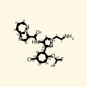 NCCn1cc(NC(=O)c2cnc3cccnn23)c(-c2cc(Cl)ccc2OC(F)F)n1